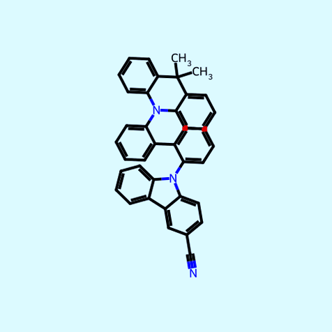 CC1(C)c2ccccc2N(c2ccccc2-c2ccccc2-n2c3ccccc3c3cc(C#N)ccc32)c2ccccc21